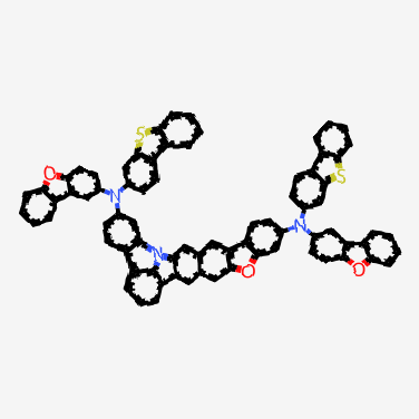 c1ccc2c(c1)oc1ccc(N(c3ccc4c(c3)oc3cc5cc6c7cccc8c9ccc(N(c%10ccc%11c(c%10)sc%10ccccc%10%11)c%10ccc%11oc%12ccccc%12c%11c%10)cc9n(c6cc5cc34)c87)c3ccc4c(c3)sc3ccccc34)cc12